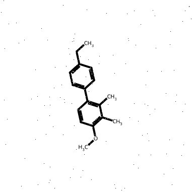 CCc1ccc(-c2ccc(OC)c(C)c2C)cc1